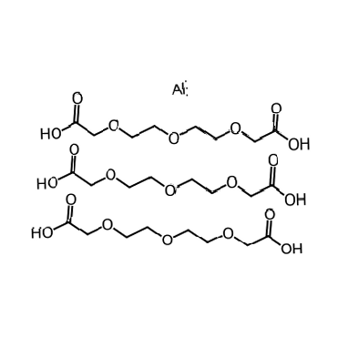 O=C(O)COCCOCCOCC(=O)O.O=C(O)COCCOCCOCC(=O)O.O=C(O)COCCOCCOCC(=O)O.[Al]